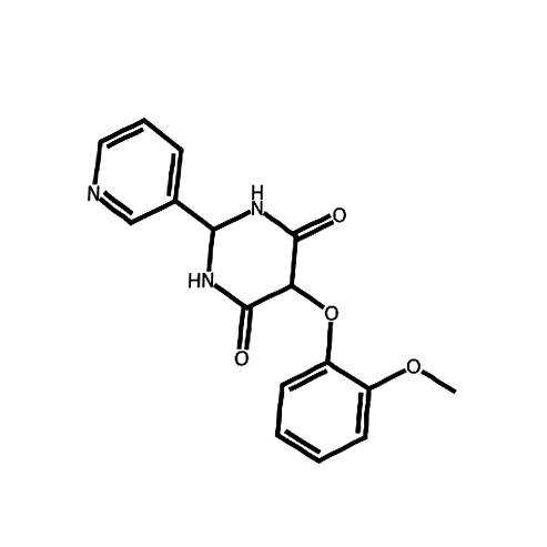 COc1ccccc1OC1C(=O)NC(c2cccnc2)NC1=O